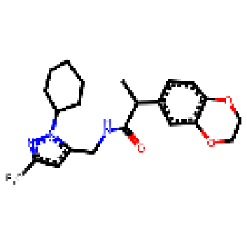 CC(C(=O)NCc1cc(C(F)(F)F)nn1C1CCCCC1)c1ccc2c(c1)OCCO2